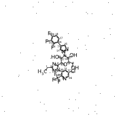 CCc1nc([C@@H]2O[C@H](CO)[C@H](O)[C@H](n3cc(-c4ccc(F)c(F)c4F)cn3)[C@H]2O)n(-c2cc(Cl)cnc2C(F)(F)F)n1